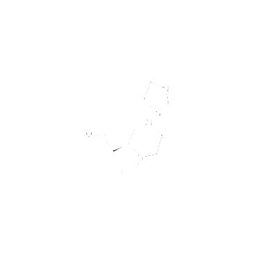 COC[C@H]1CN([C@@H]2CCNC2)CCN1C